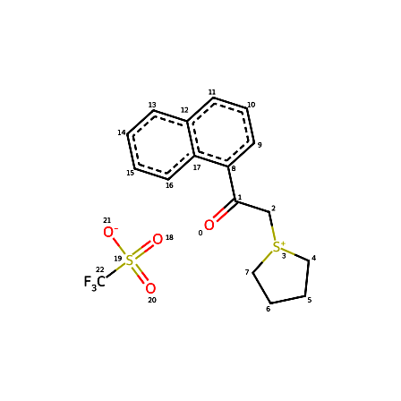 O=C(C[S+]1CCCC1)c1cccc2ccccc12.O=S(=O)([O-])C(F)(F)F